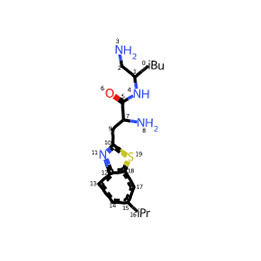 CCC(C)C(CN)NC(=O)C(N)Cc1nc2ccc(C(C)C)cc2s1